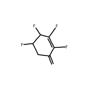 C=C1CC(F)C(F)C(F)=C1F